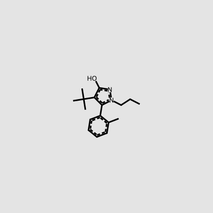 CCCn1nc(O)c(C(C)(C)C)c1-c1ccccc1C